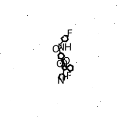 O=C(NCc1ccc(F)cc1)c1ccc(S(=O)(=O)n2cc(-c3ccncc3F)c3ccccc32)cc1